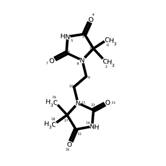 CC1(C)C(=O)NC(=O)N1CCN1C(=O)NC(=O)C1(C)C